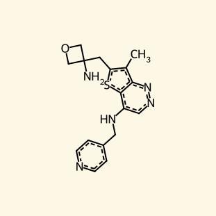 Cc1c(CC2(N)COC2)sc2c(NCc3ccncc3)cnnc12